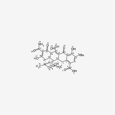 C[C@H]1c2c([N+](=O)O)cc(C(C)(C)C)c(O)c2C(=O)C2=C(O)[C@]3(O)C(=O)C(C(N)=O)=C(O)[C@@H](N(C)C)[C@@H]3[C@@H](O)[C@@H]21